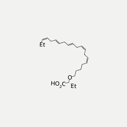 CC/C=C\CC=CCC=CC/C=C\C/C=C\CCCCO[C@H](CC)C(=O)O